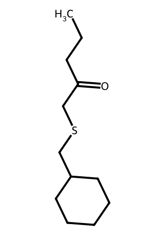 CCCC(=O)CSCC1CCCCC1